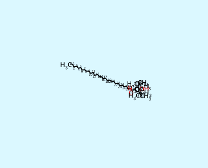 CCCCCCCCCCCCCCCCCCCCCCCCCCCCCOC(=O)c1cc(C(C)(C)C)c(O)c(C(C)(C)C)c1